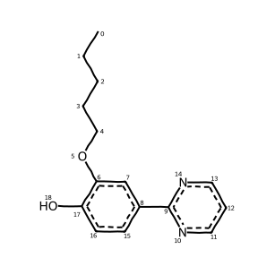 CCCCCOc1cc(-c2ncccn2)ccc1O